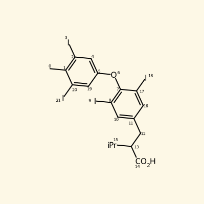 Cc1c(I)cc(Oc2c(I)cc(CC(C(=O)O)C(C)C)cc2I)cc1I